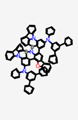 c1ccc(-c2cc(-c3ccccc3)cc(N(c3ccccc3)c3cc4c5c(c3)-n3c6ccccc6c6cccc(c63)B5N3B5c6c(cc(N(c7ccccc7)c7cc(-c8ccccc8)cc(-c8ccccc8)c7)cc6-n6c7ccccc7c7cccc5c76)-c5c3c-4cc3c5oc4ccccc43)c2)cc1